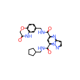 O=C1COc2ccc(CNC(=O)c3cc(C(=O)NCC4CCCC4)n4nccc4n3)cc2N1